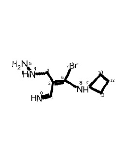 N=C/C(CNN)=C(/Br)NC1CCC1